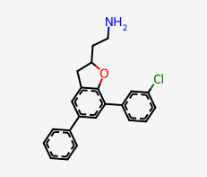 NCCC1Cc2cc(-c3ccccc3)cc(-c3cccc(Cl)c3)c2O1